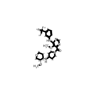 COc1c(Nc2cccc(C(F)(F)F)c2)ncnc1C(=O)N1CCC(N[C@H]2CCOC[C@H]2OC)CC1